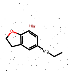 Br.C[CH2][Mg][c]1ccc2c(c1)CCO2